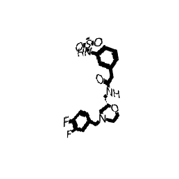 CS(=O)(=O)Nc1cccc(CC(=O)NC[C@H]2CN(Cc3ccc(F)c(F)c3)CCO2)c1